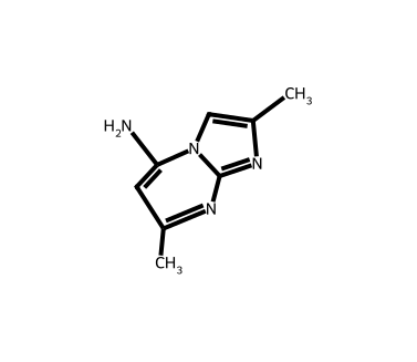 Cc1cc(N)n2cc(C)nc2n1